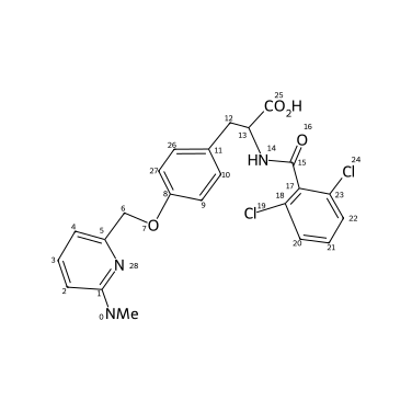 CNc1cccc(COc2ccc(CC(NC(=O)c3c(Cl)cccc3Cl)C(=O)O)cc2)n1